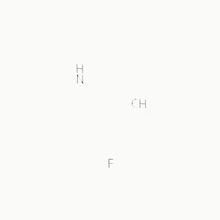 Cc1[nH]ccc1F